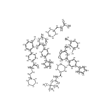 CC(C)(C)OC(=O)NC[C@H]1CC[C@H](C(=O)N(c2ccc(-c3nnn[nH]3)cc2)[C@@H](Cc2cccc(Br)c2)C(N)=O)CC1.O=C(O)NC[C@H]1CC[C@H](C(=O)N[C@@H](Cc2cccc(-c3ccc(C(=O)NCCN4CCCCC4)cc3)c2)C(=O)Nc2ccc(-c3nnn[nH]3)cc2)CC1